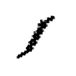 CCCCCCCC1CCC(C2CC=C(c3ccc(-c4ccc(-c5ccc(OCCCCC)c(F)c5F)cc4)c(F)c3)CC2)CC1